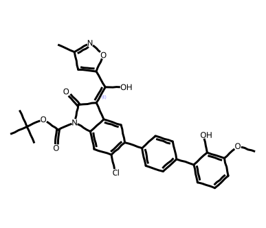 COc1cccc(-c2ccc(-c3cc4c(cc3Cl)N(C(=O)OC(C)(C)C)C(=O)/C4=C(/O)c3cc(C)no3)cc2)c1O